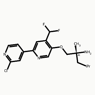 CC(C)C[C@@](C)(N)COc1cnc(-c2ccnc(Cl)c2)cc1C(F)F